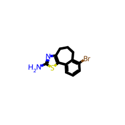 Nc1nc2c(s1)-c1cccc(Br)c1CCC2